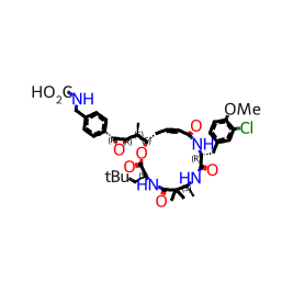 COc1ccc(C[C@H]2NC(=O)C=CC[C@@H]([C@H](C)[C@H]3O[C@@H]3c3ccc(CNC(=O)O)cc3)OC(=O)[C@H](CC(C)(C)C)NC(=O)C(C)(C)[C@H](C)NC2=O)cc1Cl